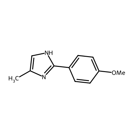 COc1ccc(-c2nc(C)c[nH]2)cc1